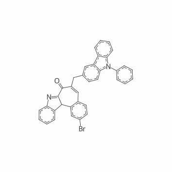 O=C1C(Cc2ccc3c(c2)c2ccccc2n3-c2ccccc2)=Cc2ccc(Br)cc2C2C1=Nc1ccccc12